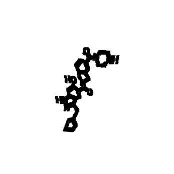 O=C(c1ccc2c(c1)CN(C(=O)c1cc3c(CC4CCCC4)n[nH]c3cc1O)C2)N1CCNCC1